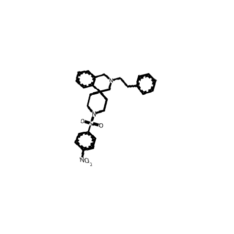 O=[N+]([O-])c1ccc(S(=O)(=O)N2CCC3(CC2)CN(CCc2ccccc2)Cc2ccccc23)cc1